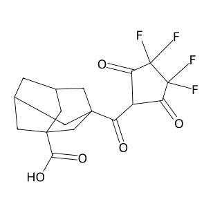 O=C(O)C12CC3CC(C1)CC(C(=O)C1C(=O)C(F)(F)C(F)(F)C1=O)(C3)C2